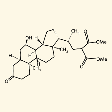 COC(=O)C(C[C@@H](C)[C@H]1CC[C@H]2[C@@H]3[C@H](O)C[C@@H]4CC(=O)CC[C@]4(C)[C@H]3CC[C@]12C)C(=O)OC